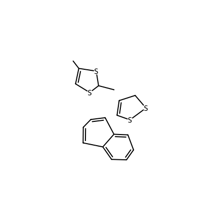 C1=CSSC1.CC1=CSC(C)S1.c1ccc2ccccc2c1